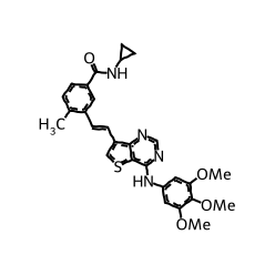 COc1cc(Nc2ncnc3c(/C=C/c4cc(C(=O)NC5CC5)ccc4C)csc23)cc(OC)c1OC